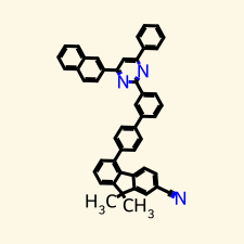 CC1(C)c2cc(C#N)ccc2-c2c(-c3ccc(-c4cccc(-c5nc(-c6ccccc6)cc(-c6ccc7ccccc7c6)n5)c4)cc3)cccc21